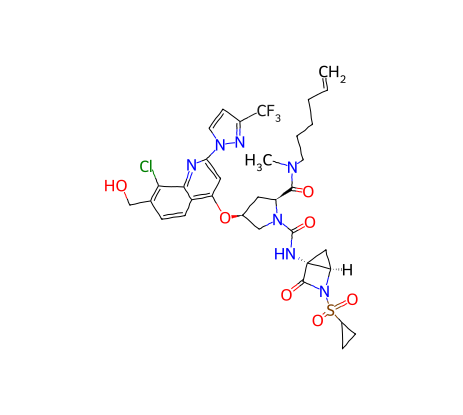 C=CCCCCN(C)C(=O)[C@@H]1C[C@H](Oc2cc(-n3ccc(C(F)(F)F)n3)nc3c(Cl)c(CO)ccc23)CN1C(=O)N[C@]12C[C@H]1N(S(=O)(=O)C1CC1)C2=O